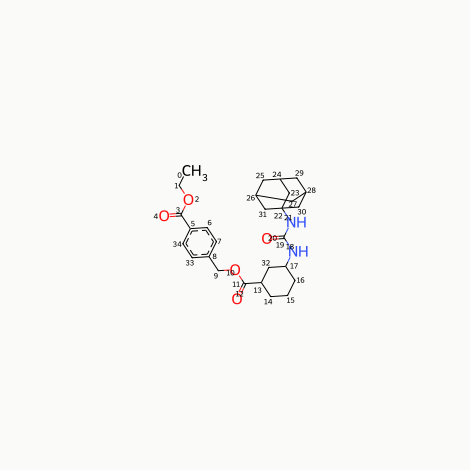 CCOC(=O)c1ccc(COC(=O)C2CCCC(NC(=O)NC34CC5CC(CC(C5)C3)C4)C2)cc1